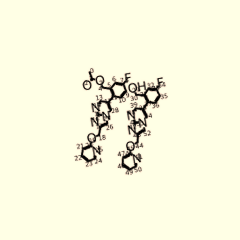 CC(=O)OCc1cc(F)ccc1-c1cnc2nc(COc3ccccn3)cn2c1.OCc1cc(F)ccc1-c1cnc2nc(COc3ccccn3)cn2c1